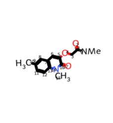 CNC(=O)COc1cc2cc(C)ccc2n(C)c1=O